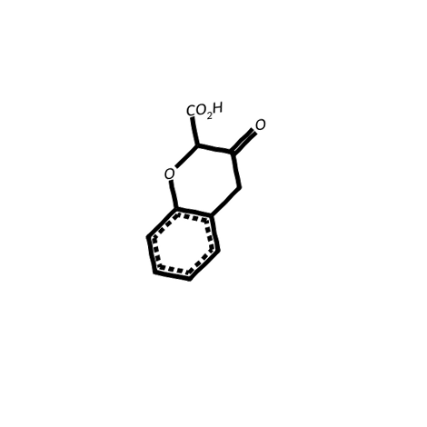 O=C(O)C1Oc2ccccc2CC1=O